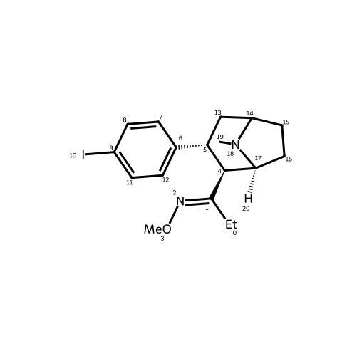 CCC(=NOC)[C@H]1[C@H](c2ccc(I)cc2)CC2CC[C@@H]1N2C